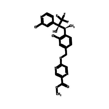 COC(=O)c1cnc(OCc2ccc([C@@H](C)[C@@](O)(c3ccnc(Cl)c3)C(F)(F)F)c(Cl)c2)cn1